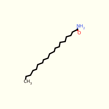 CCCCCCCCCCCCCCCCC[CH]C(N)=O